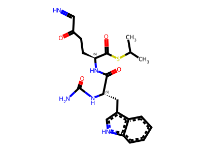 CC(C)SC(=O)[C@H](CCC(=O)C=N)NC(=O)[C@H](Cc1c[nH]c2ccccc12)NC(N)=O